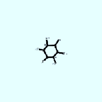 [CH2]C1C(F)C(F)C(F)C(F)C1F